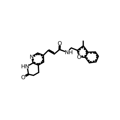 Cc1c(CNC(=O)C=Cc2cnc3c(c2)CCC(=O)N3)oc2ccccc12